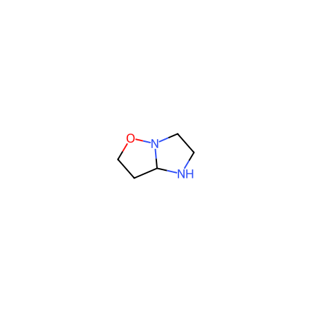 C1CN2OCCC2N1